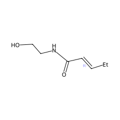 CC/C=C/C(=O)NCCO